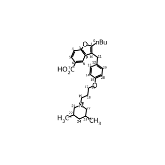 CCCCc1oc2ccc(C(=O)O)cc2c1Cc1ccc(OCCCN2CC(C)CC(C)C2)cc1